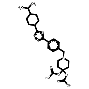 CC(C)C1CCC(c2nc(-c3ccc(CN4CCC(OC(=O)O)(OC(=O)O)CC4)cc3)no2)CC1